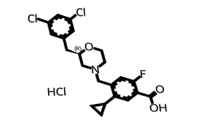 Cl.O=C(O)c1cc(C2CC2)c(CN2CCO[C@H](Cc3cc(Cl)cc(Cl)c3)C2)cc1F